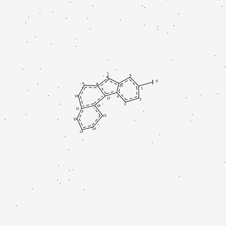 Ic1ccc2c(c1)sc1ccc3ccccc3c12